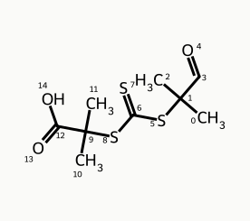 CC(C)(C=O)SC(=S)SC(C)(C)C(=O)O